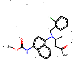 COC(=O)C[C@H](C)N(Cc1ccccc1F)c1ccc(NC(=O)OC(C)(C)C)c2ccccc12